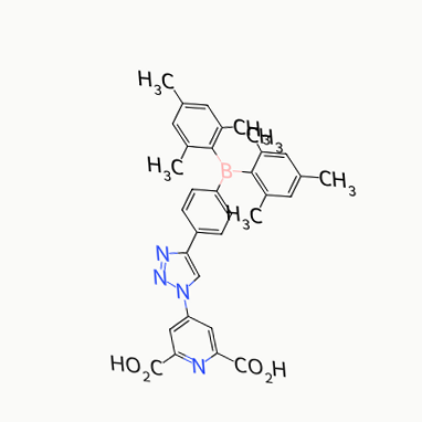 Cc1cc(C)c(B(c2ccc(-c3cn(-c4cc(C(=O)O)nc(C(=O)O)c4)nn3)cc2)c2c(C)cc(C)cc2C)c(C)c1